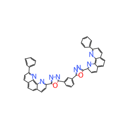 c1ccc(-c2ccc3ccc4ccc(-c5nnc(-c6cccc(-c7nnc(-c8ccc9ccc%10ccc(-c%11ccccc%11)nc%10c9n8)o7)c6)o5)nc4c3n2)cc1